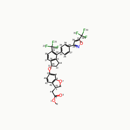 COC(=O)C[C@@H]1COc2cc(O[C@@H]3CCc4c3ccc(C(F)(F)F)c4-c3ccc(-c4cc(C(F)(F)F)on4)cc3)ccc21